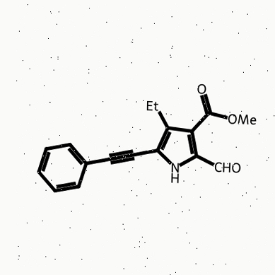 CCc1c(C#Cc2ccccc2)[nH]c(C=O)c1C(=O)OC